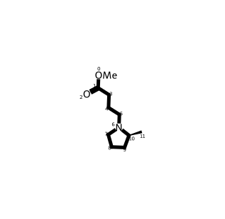 COC(=O)CCCN1CCC[C@@H]1C